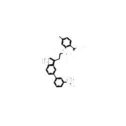 Cc1ccc(C(=O)O)c(NC(=O)Cc2c[nH]c3ccc(-c4cccc([N+](=O)[O-])c4)cc23)c1